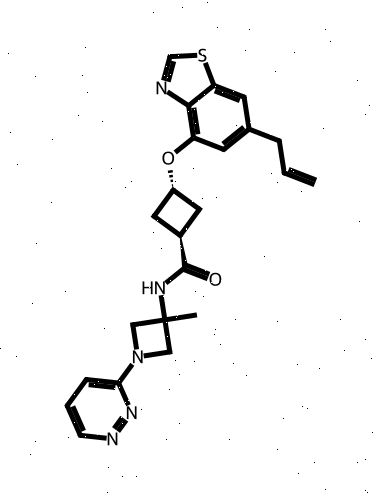 C=CCc1cc(O[C@H]2C[C@H](C(=O)NC3(C)CN(c4cccnn4)C3)C2)c2ncsc2c1